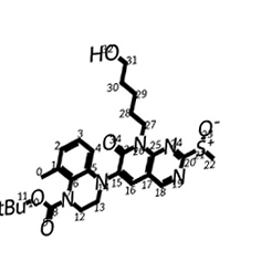 Cc1cccc2c1N(C(=O)OC(C)(C)C)CCN2c1cc2cnc([S+](C)[O-])nc2n(CCCCCO)c1=O